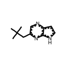 CC(C)(C)Cc1cnc2cc[nH]c2n1